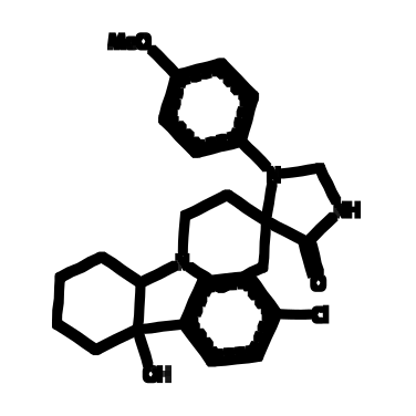 COc1ccc(N2CNC(=O)C23CCN(C2CCCCC2(O)c2ccc(Cl)cc2)CC3)cc1